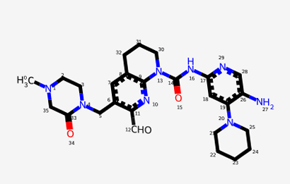 CN1CCN(Cc2cc3c(nc2C=O)N(C(=O)Nc2cc(N4CCCCC4)c(N)cn2)CCC3)C(=O)C1